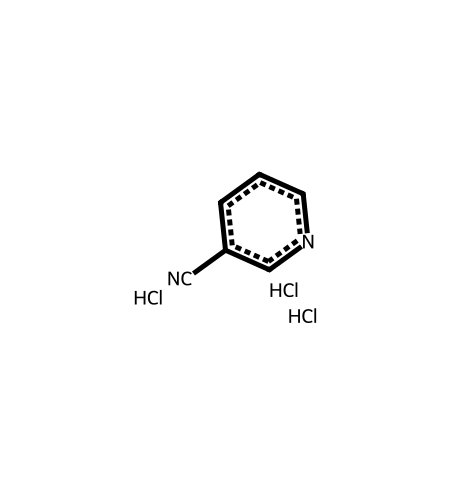 Cl.Cl.Cl.N#Cc1cccnc1